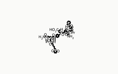 CC[C@H](C)[C@H](NC(=O)[C@H]1CCCCN1C)C(=O)N(C)[C@H](C[C@@H](OC(N)=O)c1nc(C(=O)N[C@@H](Cc2ccc(NC(=O)[C@H](CCCNC(N)=O)NC(=O)[C@@H](NC(=O)CCCCCN3C(=O)C=CC3=O)C(C)C)cc2)C[C@H](C)C(=O)O)cs1)C(C)C